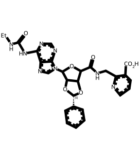 CCNC(=O)Nc1ncnc2c1ncn2C1OC(C(=O)NCc2ncccc2C(=O)O)C2O[C@H](c3ccccc3)OC21